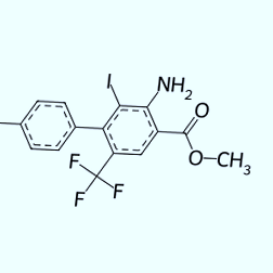 COC(=O)c1cc(C(F)(F)F)c(-c2ccc(F)cc2)c(I)c1N